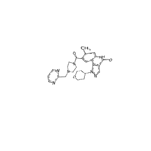 Cc1cc2[nH]c(=O)c3cnn(C4CCOCC4)c3c2cc1C(=O)N1CCN(Cc2ncccn2)CC1